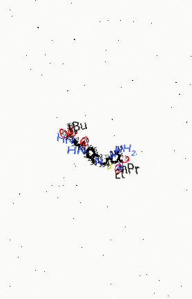 CCCN(OCC)C(=O)C1=Cc2sc(CN3Cc4ccc(NC(=O)CCNC(=O)OC(C)(C)C)cc4C3)cc2N=C(N)C1